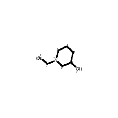 CC(C)(C)CN1CCCC(O)C1